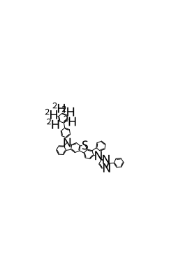 [2H]c1c([2H])c([2H])c(-c2ccc(-n3c4ccccc4c4cc5c(cc43)sc3c5ccc4c3c3ccccc3n4-c3ccnc(-c4ccccc4)n3)cc2)c([2H])c1[2H]